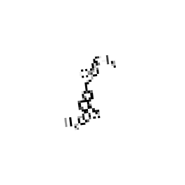 CCOC(=O)/C=C/c1ccc2c(C=O)c(OC)ccc2c1